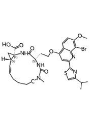 COc1ccc2c(OCC[C@@H]3NC(=O)N(C)CCCCC=C[C@@H]4C[C@@]4(C(=O)O)NC3=O)cc(-c3nc(C(C)C)cs3)nc2c1Br